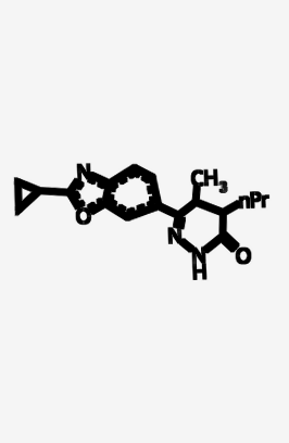 CCCC1C(=O)NN=C(c2ccc3nc(C4CC4)oc3c2)C1C